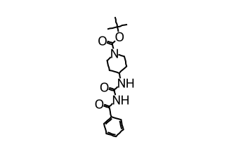 CC(C)(C)OC(=O)N1CCC(NC(=O)NC(=O)c2ccccc2)CC1